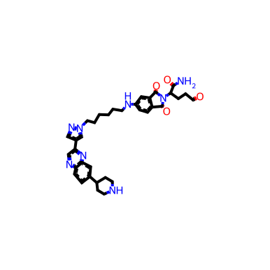 NC(=O)C(CCC=O)N1C(=O)c2ccc(NCCCCCCn3cc(-c4cnc5ccc(C6CCNCC6)cc5n4)cn3)cc2C1=O